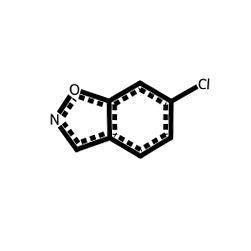 Clc1ccc2cnoc2c1